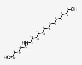 OCCCCCCCCCCCCCCNCCCCCO